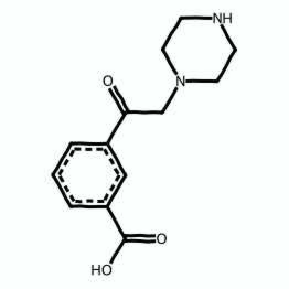 O=C(O)c1cccc(C(=O)CN2CCNCC2)c1